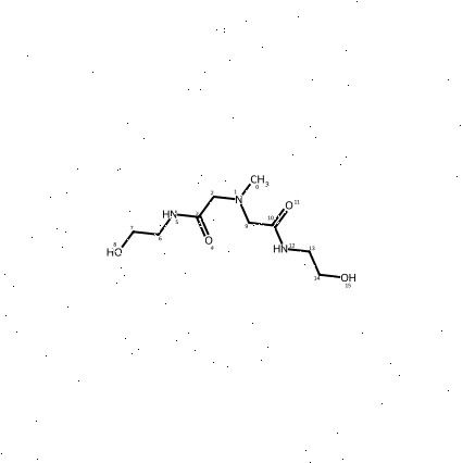 CN(CC(=O)NCCO)CC(=O)NCCO